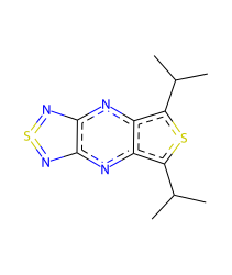 CC(C)c1sc(C(C)C)c2nc3c(nc12)N=S=N3